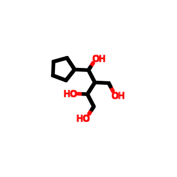 OCC(O)C(CO)C(O)C1CCCC1